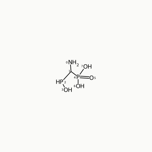 NC(PO)P(=O)(O)O